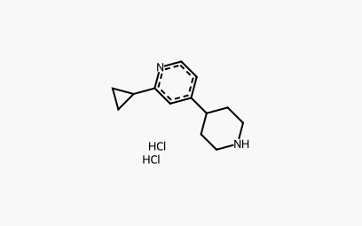 Cl.Cl.c1cc(C2CCNCC2)cc(C2CC2)n1